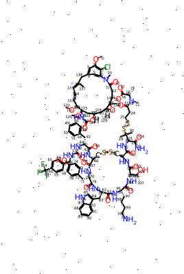 COc1cc2cc(c1Cl)N(C)C(=O)C[C@H](OC(=O)[C@H](C)N(C)C(=O)CCSSC(C)(C)[C@H](NC(=O)[C@@H]1CSSC[C@H](NC(=O)[C@@H](Cc3ccccc3)NC(=O)NCc3ccc(C(F)(F)F)cc3)C(=O)N[C@@H](Cc3ccc(O)cc3)C(=O)N[C@H](Cc3c[nH]c4ccccc34)C(=O)N[C@@H](CCCCN)C(=O)N[C@@H]([C@@H](C)O)C(=O)N1)C(N)=O)[C@]1(C)O[C@H]1[C@H](C)[C@@H]1CC(OC)(NC(=O)O1)[C@H](OC)/C=C/C=C(\C)C2